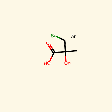 CC(O)(CBr)C(=O)O.[Ar]